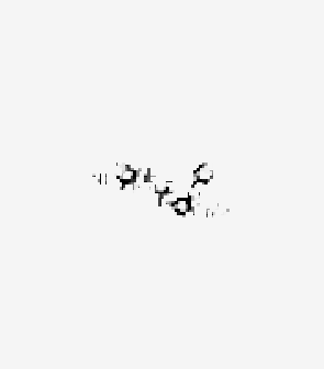 COc1ccc(NC(=O)CSc2nc3c(C)c(C#N)ncc3[nH]2)cc1OCC1CCN(C)CC1